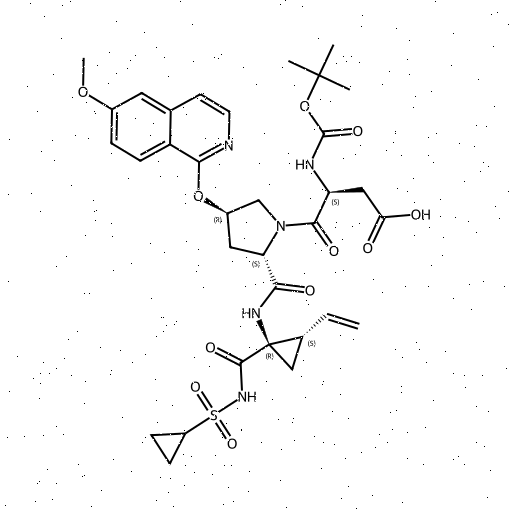 C=C[C@@H]1C[C@]1(NC(=O)[C@@H]1C[C@@H](Oc2nccc3cc(OC)ccc23)CN1C(=O)[C@H](CC(=O)O)NC(=O)OC(C)(C)C)C(=O)NS(=O)(=O)C1CC1